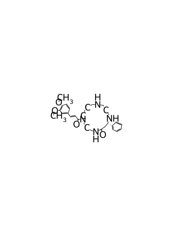 COc1ccc(/C=C/C(=O)N2CCCCNCCCN[C@H](c3ccccc3)CC(=O)NCCC2)cc1OC